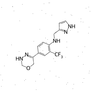 FC(F)(F)c1cc(C2=NNCOC2)ccc1NCc1cc[nH]n1